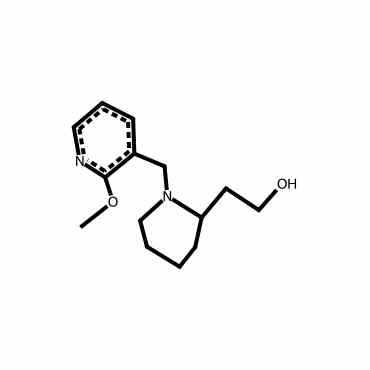 COc1ncccc1CN1CCCCC1CCO